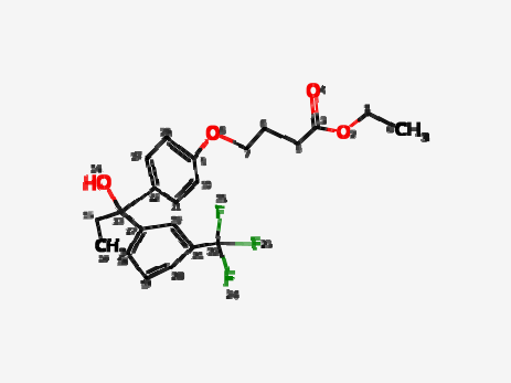 CCOC(=O)CCCOc1ccc(C(O)(CC)c2cccc(C(F)(F)F)c2)cc1